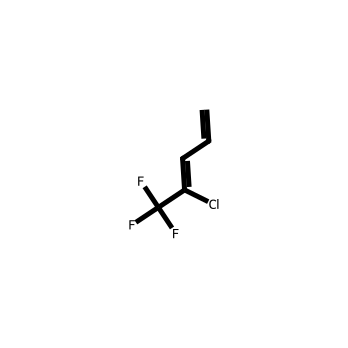 C=CC=C(Cl)C(F)(F)F